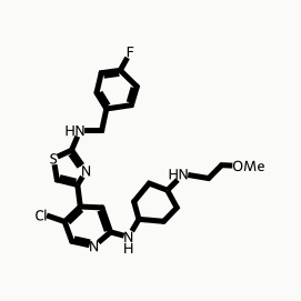 COCCNC1CCC(Nc2cc(-c3csc(NCc4ccc(F)cc4)n3)c(Cl)cn2)CC1